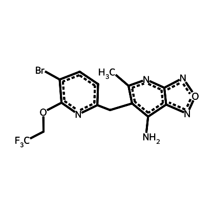 Cc1nc2nonc2c(N)c1Cc1ccc(Br)c(OCC(F)(F)F)n1